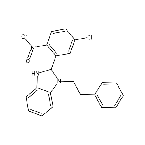 O=[N+]([O-])c1ccc(Cl)cc1C1Nc2ccccc2N1CCc1ccccc1